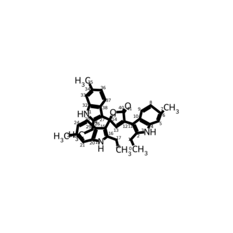 CCc1[nH]c2cc(C)ccc2c1C1=CC(c2c(CC)[nH]c3cc(C)ccc23)(c2c(CC)[nH]c3cc(C)ccc23)OC1=O